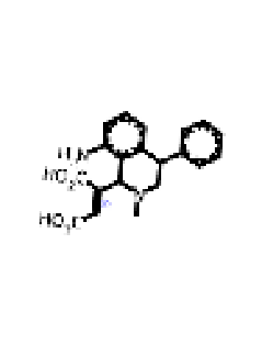 CN1CC(c2ccccc2)c2cccc(N)c2C1/C(=C/C(=O)O)C(=O)O